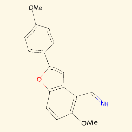 COc1ccc(-c2cc3c(C=N)c(OC)ccc3o2)cc1